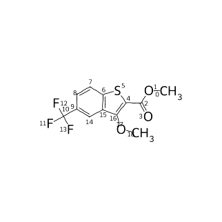 COC(=O)c1sc2ccc(C(F)(F)F)cc2c1OC